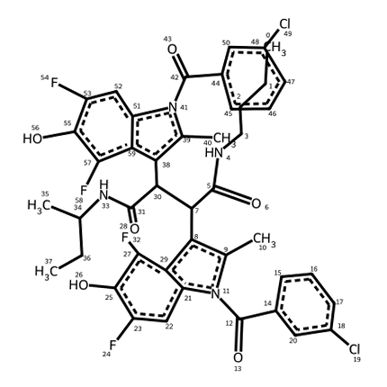 CCCCNC(=O)C(c1c(C)n(C(=O)c2cccc(Cl)c2)c2cc(F)c(O)c(F)c12)C(C(=O)NC(C)CC)c1c(C)n(C(=O)c2cccc(Cl)c2)c2cc(F)c(O)c(F)c12